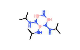 CC(C)NB1N(NC(C)C)BNBN1NC(C)C